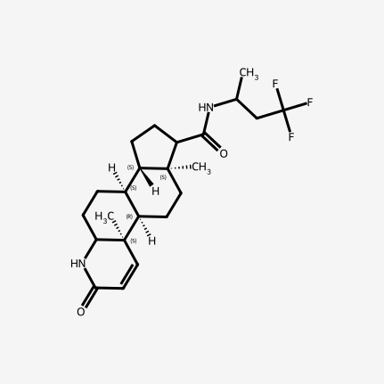 CC(CC(F)(F)F)NC(=O)C1CC[C@H]2[C@@H]3CCC4NC(=O)C=C[C@]4(C)[C@@H]3CC[C@]12C